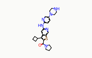 O=C(c1sc2cnc(Nc3ccc(N4CCNCC4)cn3)cc2c1C1CCC1)N1CCCC1